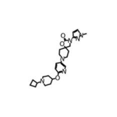 Cn1ccc(N2CC3(CCN(c4ccc(OC5CCN(C6CCC6)CC5)nc4)CC3)OC2=O)n1